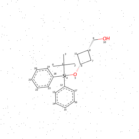 CC(C)(C)[Si](O[C@H]1C[C@@H](CO)C1)(c1ccccc1)c1ccccc1